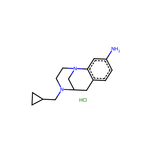 Cl.Nc1ccc2c(c1)N1CCN(CC3CC3)C(C2)C1